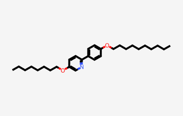 CCCCCCCCCCOc1ccc(-c2ccc(OCCCCCCCC)cn2)cc1